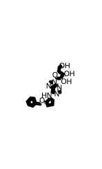 OCC1OC(n2cnc3c(NC4CCC[C@H]4OCc4ccccc4)ncnc32)C(O)[C@@H]1O